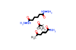 CC(=O)CC=CC(N)=O.CC(C)=O.NNC(=O)CCCCC(=O)NN